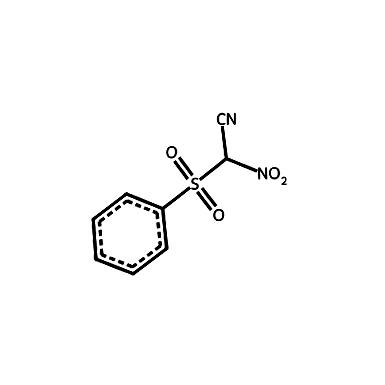 N#CC([N+](=O)[O-])S(=O)(=O)c1ccccc1